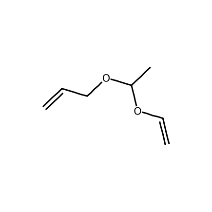 C=CCOC(C)OC=C